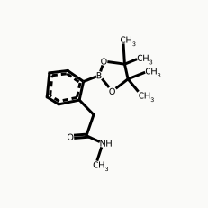 CNC(=O)Cc1ccccc1B1OC(C)(C)C(C)(C)O1